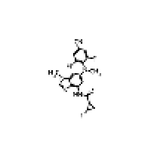 CCc1cc(C#N)cc(F)c1N(C)c1cc(NC(=O)C2CC2F)c2ncn(C)c2c1